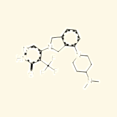 CN(C)C1CCN(c2cccc3c2CN(c2cn[nH]c(=O)c2C(F)(F)F)C3)CC1